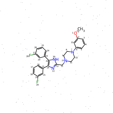 COc1cccc(N2CCN(Cc3nc(-c4cccc(F)c4)c(-c4cccc(F)c4)[nH]3)CC2)c1